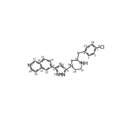 Clc1ccc(CC2CN(c3nnc(-c4ccc5cnccc5c4)s3)CCN2)cc1